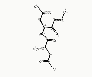 N[C@@H](CC(=O)O)C(=O)N[C@@H](CC(=O)O)C(=O)C=NO